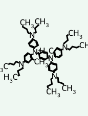 CCCCN(CCCC)c1ccc([N+](=C2C=CC(=[N+](c3ccc(N(CCCC)CCCC)cc3)c3ccc(N(CCCC)CCCC)cc3C)C=C2)c2ccc(N(CCCC)CCCC)cc2C)cc1